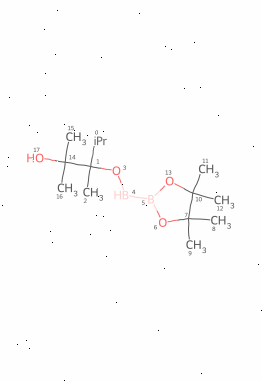 CC(C)C(C)(OBB1OC(C)(C)C(C)(C)O1)C(C)(C)O